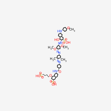 COc1ccc(Nc2ccc3c(O)c(N=Nc4cc(OC)c(N=Nc5cc(C)c(N=Nc6ccc(C(=O)Nc7ccc8cc(S(=O)(=O)O)cc(OCCCCS(=O)(=O)O)c8c7)cc6)c(C)c5)cc4OC)c(S(=O)(=O)O)cc3c2)cc1